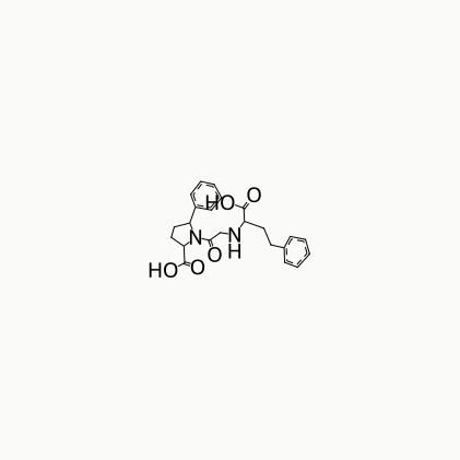 O=C(O)C(CCc1ccccc1)NCC(=O)N1C(C(=O)O)CCC1c1ccccc1